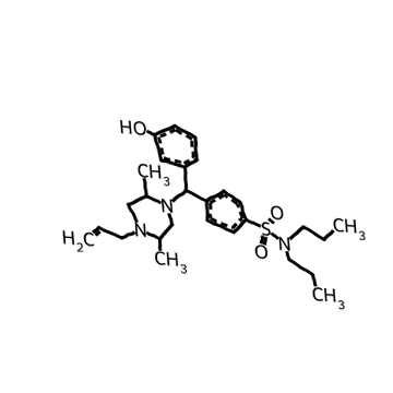 C=CCN1CC(C)N(C(c2ccc(S(=O)(=O)N(CCC)CCC)cc2)c2cccc(O)c2)CC1C